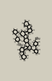 CC(C)(C)c1ccc(-c2ccccc2-c2cc3c4cc5c(cc4n4c6ccc7sc8ccccc8c7c6c(c2)c34)c2cc(-c3ccccc3-c3ccc(C(C)(C)C)cc3)cc3c4c6c(ccc4n5c23)sc2ccccc26)cc1